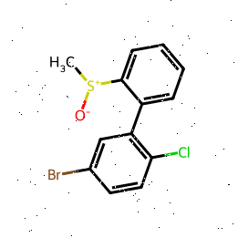 C[S+]([O-])c1ccccc1-c1cc(Br)ccc1Cl